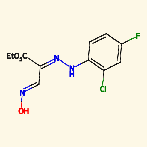 CCOC(=O)C(/C=N/O)=N/Nc1ccc(F)cc1Cl